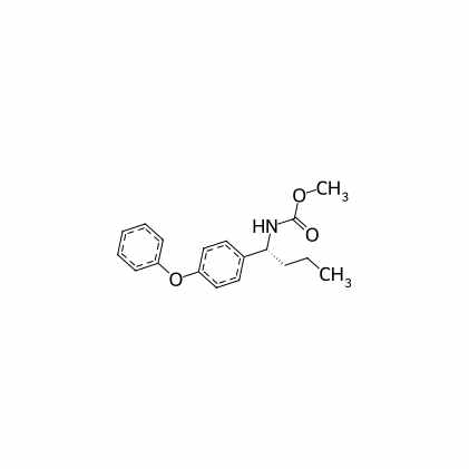 CCC[C@@H](NC(=O)OC)c1ccc(Oc2ccccc2)cc1